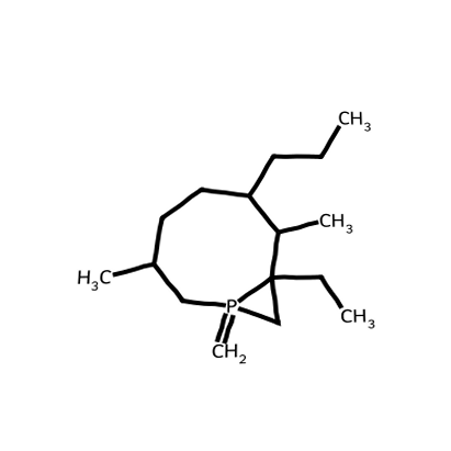 C=P12CC(C)CCC(CCC)C(C)C1(CC)C2